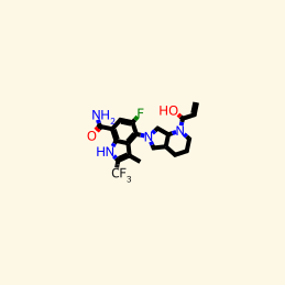 C=CC(O)N1CCCC2CN(c3c(F)cc(C(N)=O)c4[nH]c(C(F)(F)F)c(C)c34)CC21